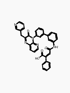 O=C(C=C(C(=O)O)c1ccccc1)Nc1cccc(-c2cccc(-n3c(=O)c(Cc4cccnc4)nc4cccnc43)c2)c1